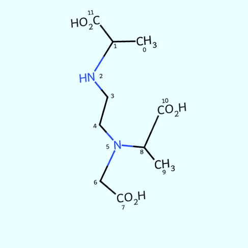 CC(NCCN(CC(=O)O)C(C)C(=O)O)C(=O)O